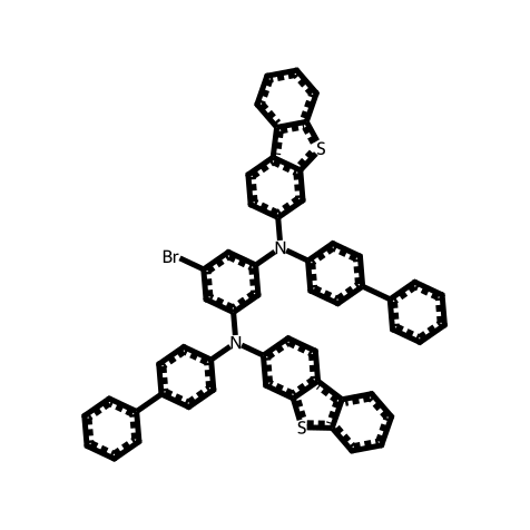 Brc1cc(N(c2ccc(-c3ccccc3)cc2)c2ccc3c(c2)sc2ccccc23)cc(N(c2ccc(-c3ccccc3)cc2)c2ccc3c(c2)sc2ccccc23)c1